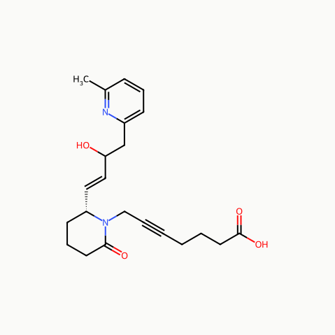 Cc1cccc(CC(O)/C=C/[C@H]2CCCC(=O)N2CC#CCCCC(=O)O)n1